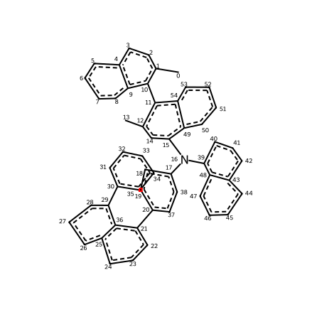 Cc1ccc2ccccc2c1-c1c(C)cc(N(c2ccc(-c3cccc4cccc(-c5ccccc5)c34)cc2)c2cccc3ccccc23)c2ccccc12